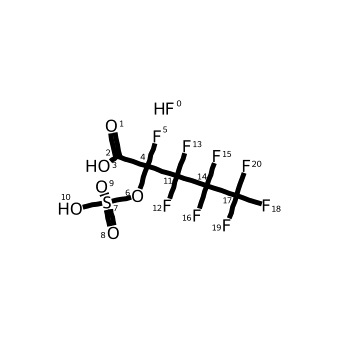 F.O=C(O)C(F)(OS(=O)(=O)O)C(F)(F)C(F)(F)C(F)(F)F